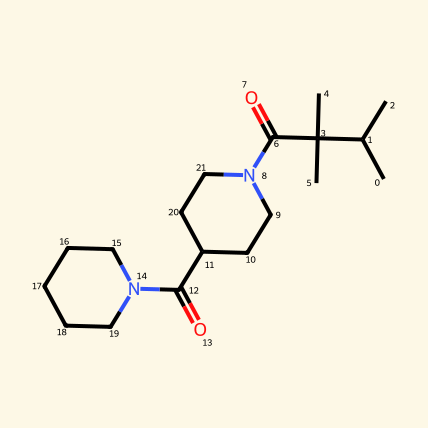 CC(C)C(C)(C)C(=O)N1CCC(C(=O)N2CCCCC2)CC1